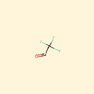 O=[C]C(F)(F)F